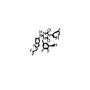 Cc1cncc(-n2c(=O)nc(Nc3ccc4nn(CC(F)F)cc4c3)n(Cc3cc(F)c(F)c(C#N)c3)c2=O)c1